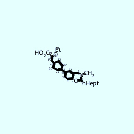 CCCCCCCC(=O)N(C)Cc1cccc(-c2ccc(C[C@H](OCC)C(=O)O)cc2)c1